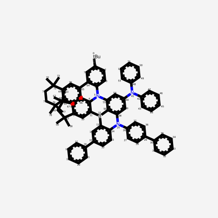 CC(C)(C)c1ccc(N2c3cc4c(cc3B3c5cc(-c6ccccc6)ccc5N(c5ccc(-c6ccccc6)cc5)c5cc(N(c6ccccc6)c6ccccc6)cc2c53)C(C)(C)CC4(C)C)c(-c2ccc3c(c2)C(C)(C)CCC3(C)C)c1